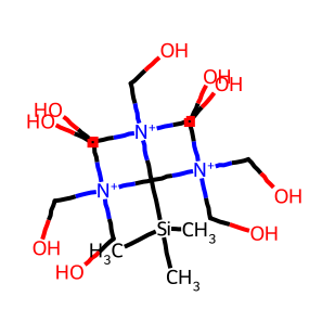 C[Si](C)(C)C([N+](CO)(CO)CO)([N+](CO)(CO)CO)[N+](CO)(CO)CO